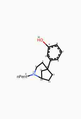 CCCCCN1CCC2(c3cccc(O)c3)CCC1C2